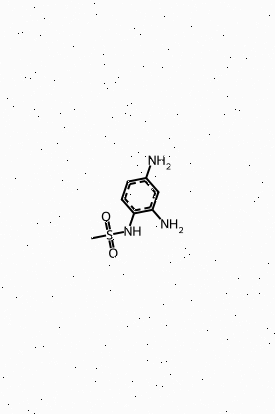 CS(=O)(=O)Nc1ccc(N)cc1N